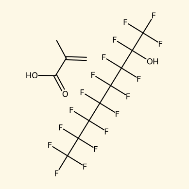 C=C(C)C(=O)O.OC(F)(C(F)(F)F)C(F)(F)C(F)(F)C(F)(F)C(F)(F)C(F)(F)C(F)(F)F